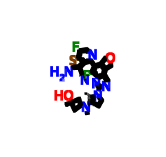 C[C@H]1[C@@H](N(C)C2CC(C)(O)C2)CCN1c1ncc2c3c(c(-c4ncc(F)c5sc(N)c(C#N)c45)c(F)c2n1)COC3